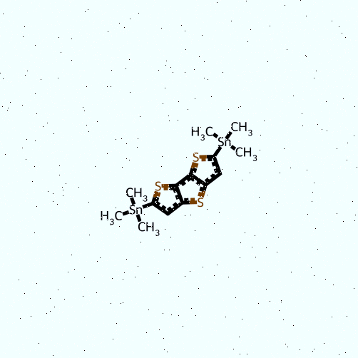 [CH3][Sn]([CH3])([CH3])[c]1cc2sc3c[c]([Sn]([CH3])([CH3])[CH3])sc3c2s1